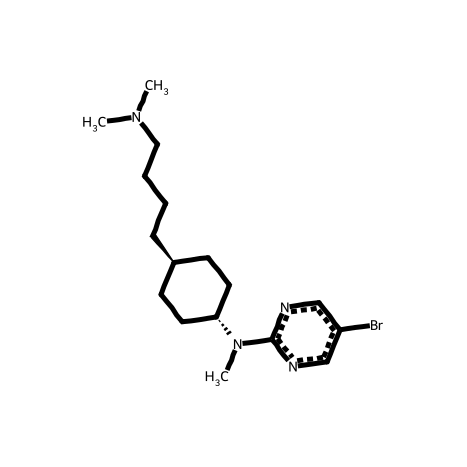 CN(C)CCCC[C@H]1CC[C@H](N(C)c2ncc(Br)cn2)CC1